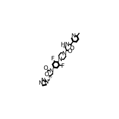 Cc1ccc(C(=O)N[C@@H](C)C(=O)N2CCN(c3c(F)cc(N4C[C@H](Cn5ccnn5)OC4=O)cc3F)CC2)cn1